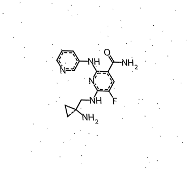 NC(=O)c1cc(F)c(NCC2(N)CC2)nc1Nc1cccnc1